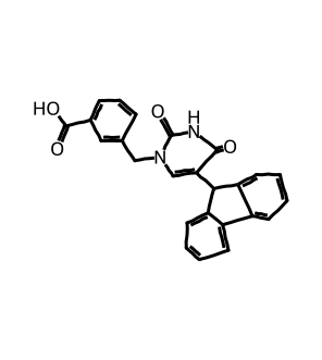 O=C(O)c1cccc(Cn2cc(C3c4ccccc4-c4ccccc43)c(=O)[nH]c2=O)c1